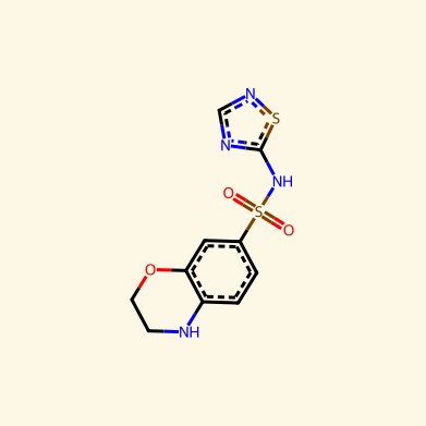 O=S(=O)(Nc1ncns1)c1ccc2c(c1)OCCN2